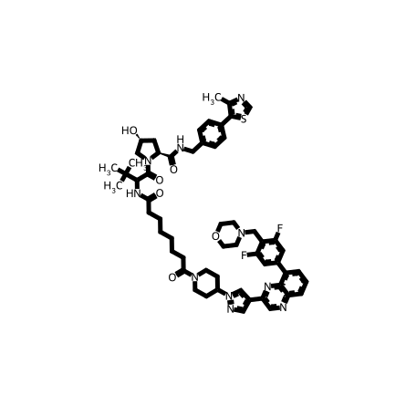 Cc1ncsc1-c1ccc(CNC(=O)[C@@H]2C[C@@H](O)CN2C(=O)C(NC(=O)CCCCCCC(=O)N2CCC(n3cc(-c4cnc5cccc(-c6cc(F)c(CN7CCOCC7)c(F)c6)c5n4)cn3)CC2)C(C)(C)C)cc1